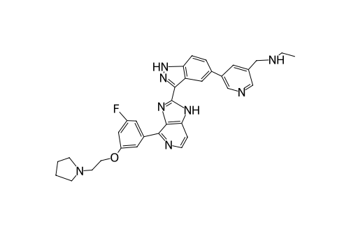 CCNCc1cncc(-c2ccc3[nH]nc(-c4nc5c(-c6cc(F)cc(OCCN7CCCC7)c6)nccc5[nH]4)c3c2)c1